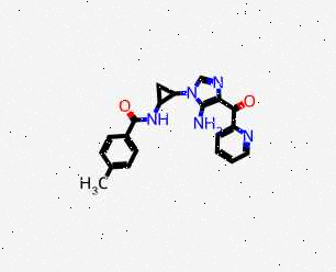 Cc1ccc(C(=O)NC2CC2n2cnc(C(=O)c3ccccn3)c2N)cc1